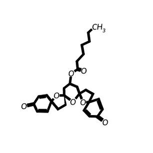 CCCCCCC(=O)OC1CC2(CCC3(C=CC(=O)C=C3)O2)O[C@@]2(CCC3(C=CC(=O)C=C3)O2)C1